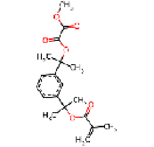 C=C(C)C(=O)OC(C)(C)c1cccc(C(C)(C)OC(=O)C(=O)OC)c1